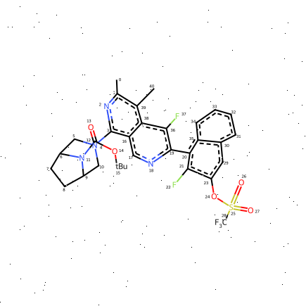 Cc1nc(N2CC3CCC(C2)N3C(=O)OC(C)(C)C)c2cnc(-c3c(F)c(OS(=O)(=O)C(F)(F)F)cc4ccccc34)c(F)c2c1C